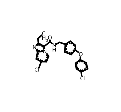 CCc1nc2cc(Cl)ccn2c1C(=O)NCc1ccc(Oc2ccc(Cl)cc2)cc1